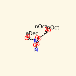 CCCCCCCCCCCOC(=O)C(C)(C)CCCCN1C[C@@H](OC(=O)CCN(C)C)C[C@H]1C(=O)OCCCCCCC(C)(C)C(=O)OC(CCCCCCCC)CCCCCCCC